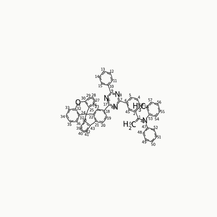 C=C(c1cccc(-c2nc(-c3ccccc3)nc(-c3ccc4c(c3)C3(c5ccccc5Oc5ccccc53)c3ccccc3-4)n2)c1)N(c1ccccc1)c1ccccc1C